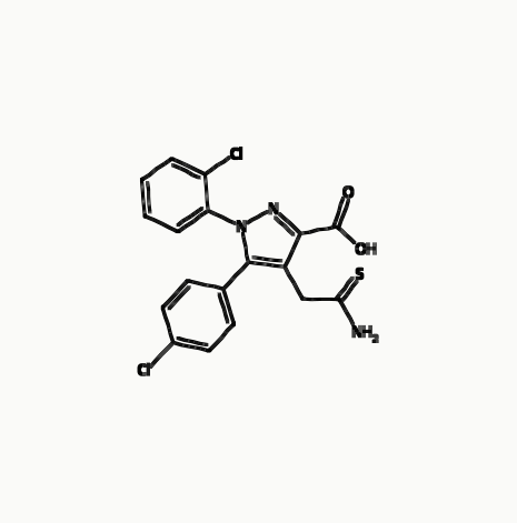 NC(=S)Cc1c(C(=O)O)nn(-c2ccccc2Cl)c1-c1ccc(Cl)cc1